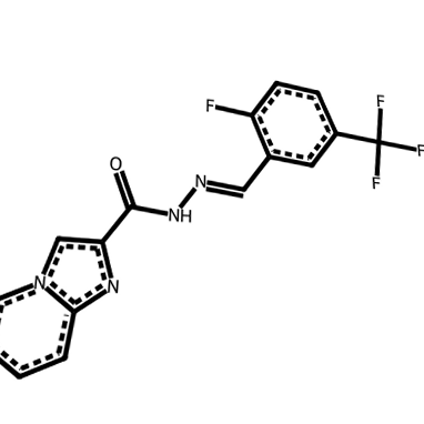 O=C(N/N=C/c1cc(C(F)(F)F)ccc1F)c1cn2ccccc2n1